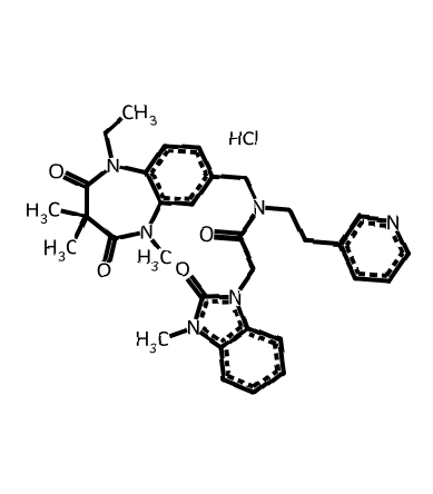 CCN1C(=O)C(C)(C)C(=O)N(C)c2cc(CN(CCc3cccnc3)C(=O)Cn3c(=O)n(C)c4ccccc43)ccc21.Cl